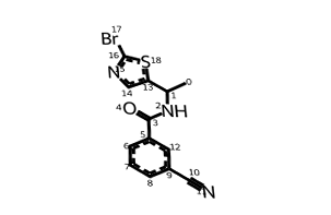 CC(NC(=O)c1cccc(C#N)c1)c1cnc(Br)s1